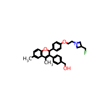 CC1=C(c2ccc(CO)cc2)C(c2ccc(OCCN3CC(CF)C3)cc2)Oc2ccc(C)cc21